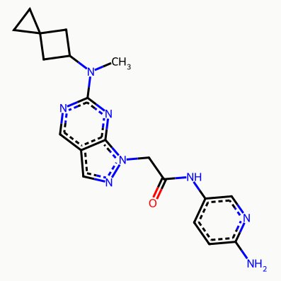 CN(c1ncc2cnn(CC(=O)Nc3ccc(N)nc3)c2n1)C1CC2(CC2)C1